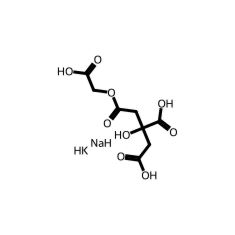 O=C(O)COC(=O)CC(O)(CC(=O)O)C(=O)O.[KH].[NaH]